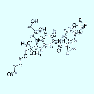 CC(C)(COCCCC=O)c1cc2cc(NC(=O)C3(c4ccc5c(c4)OC(F)(F)O5)CC3)c(F)cc2n1C[C@@H](O)CO